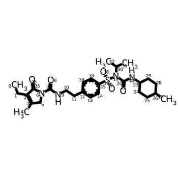 CCC1=C(C)CN(C(=O)NCCc2ccc(S(=O)(=O)N(C(=O)NC3CCC(C)CC3)C(C)C)cc2)C1=O